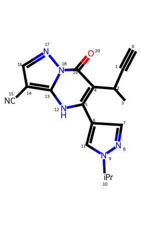 C#CC(C)c1c(-c2cnn(C(C)C)c2)[nH]c2c(C#N)cnn2c1=O